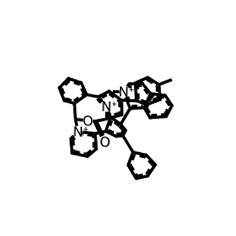 Cc1ccc(-c2cc3[n+]4c(c2)-c2ccccc2C(OC3=O)[n+]2ccccc2-c2cc(-c3ccccc3)cc(-c3c5ccccc5cc[n+]3C)c2-4)cc1